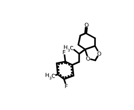 Cc1cc(F)c(CC(C)C23CCC(=O)CC2OCO3)cc1F